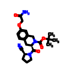 CC(C)(C)OC(=O)N1Cc2cc(OCC(N)=O)ccc2C[C@H]1C(=O)N1CCC[C@H]1C#N